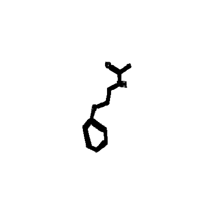 CC(=O)NCCSc1cc[c]cc1